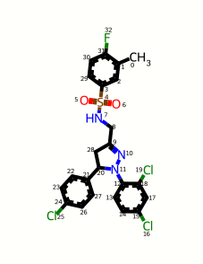 Cc1cc(S(=O)(=O)NCC2=NN(c3ccc(Cl)cc3Cl)C(c3ccc(Cl)cc3)C2)ccc1F